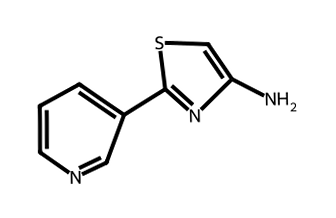 Nc1csc(-c2cccnc2)n1